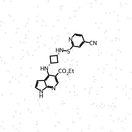 CCOC(=O)c1cnc2[nH]ccc2c1N[C@H]1C[C@@H](NSc2cc(C#N)ccn2)C1